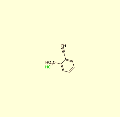 C#Cc1ccccc1C(=O)O.Cl